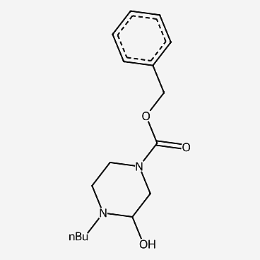 CCCCN1CCN(C(=O)OCc2ccccc2)CC1O